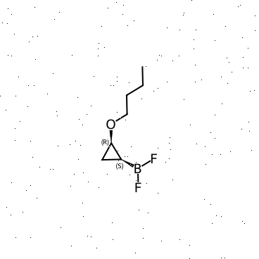 CCCCO[C@@H]1C[C@@H]1B(F)F